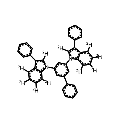 [2H]c1c([2H])c([2H])c2c(c1[2H])c(-c1ccccc1)c([2H])n2-c1cc(-c2ccccc2)cc(-n2c([2H])c(-c3ccccc3)c3c([2H])c([2H])c([2H])c([2H])c32)c1